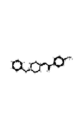 Nc1ccc(C(=O)C=C2CCN(Cc3ccccc3)CC2)cc1